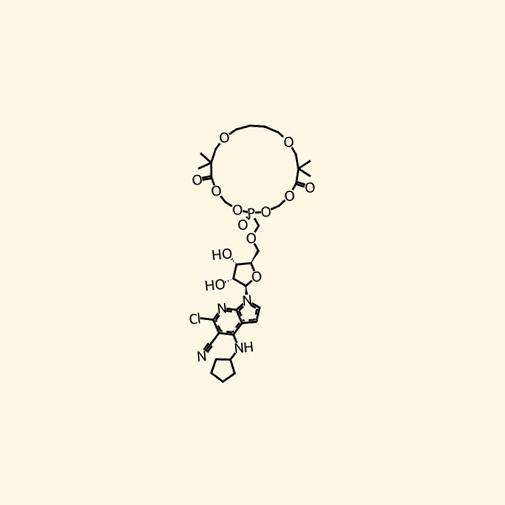 CC1(C)COCCCCOCC(C)(C)C(=O)OCOP(=O)(COC[C@H]2O[C@@H](n3ccc4c(NC5CCCC5)c(C#N)c(Cl)nc43)[C@H](O)[C@@H]2O)OCOC1=O